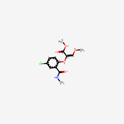 CNC(=O)c1cc(Cl)ccc1OC(=COC)C(=O)OC